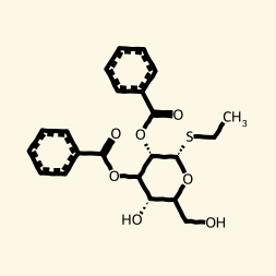 CCS[C@@H]1OC(CO)[C@H](O)C(OC(=O)c2ccccc2)[C@@H]1OC(=O)c1ccccc1